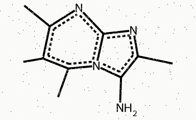 Cc1nc2nc(C)c(N)n2c(C)c1C